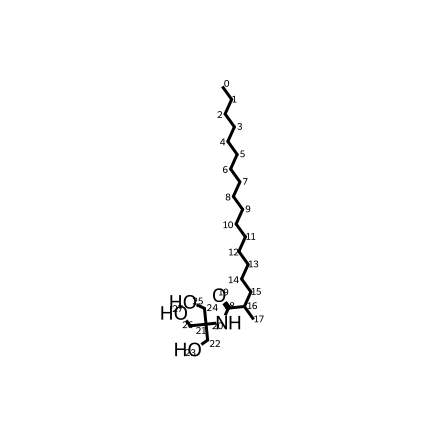 CCCCCCCCCCCCCCCCC(C)C(=O)NC(CO)(CO)CO